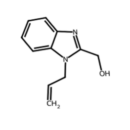 C=CCn1c(CO)nc2ccccc21